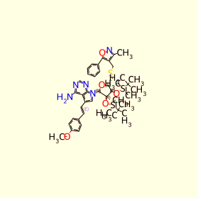 COc1ccc(/C=C/c2cn([C@@H]3O[C@H](CSCc4c(C)noc4-c4ccccc4)[C@@H](O[Si](C)(C)C(C)(C)C)[C@H]3O[Si](C)(C)C(C)(C)C)c3ncnc(N)c23)cc1